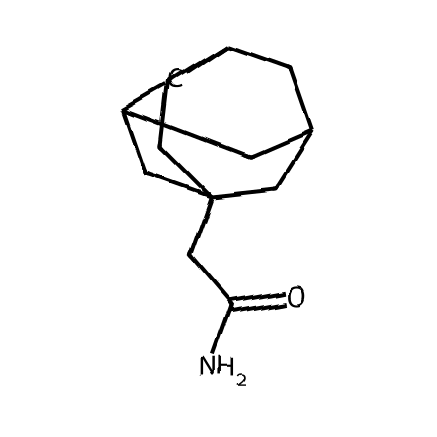 NC(=O)CC12CCC3CC(CC(C3)C1)C2